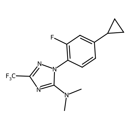 CN(C)c1nc(C(F)(F)F)nn1-c1ccc(C2CC2)cc1F